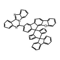 c1ccc2c(c1)-c1ccccc1C21c2ccccc2C2(c3ccc(-c4nc5ccccc5c5nc6ccccc6n45)cc3-c3ccc4c(oc5ccccc54)c32)c2ccccc21